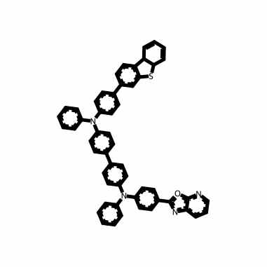 C1=CC2Sc3cc(-c4ccc(N(c5ccccc5)c5ccc(-c6ccc(N(c7ccccc7)c7ccc(-c8nc9cccnc9o8)cc7)cc6)cc5)cc4)ccc3C2C=C1